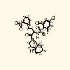 O=C(C(CCn1ccnc1[N+](=O)[O-])NS(=O)(=O)c1c(Cl)cc(Cl)cc1Cl)N1CC[C@H]2CCCC[C@H]2C1